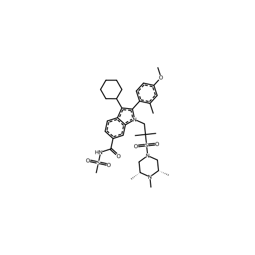 COc1ccc(-c2c(C3CCCCC3)c3ccc(C(=O)NS(C)(=O)=O)cc3n2CC(C)(C)S(=O)(=O)N2C[C@@H](C)N(C)[C@@H](C)C2)c(C)c1